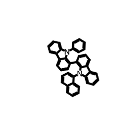 c1ccc(-n2c3ccccc3c3cccc(-c4cccc5c6ccccc6n(-c6cccc7ccccc67)c45)c32)cc1